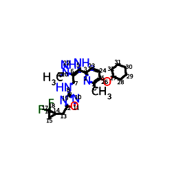 Cc1nc(/C(N)=C(\CNc2noc(CC3CC3(F)F)n2)N(C)N)ccc1OC1CCCCC1